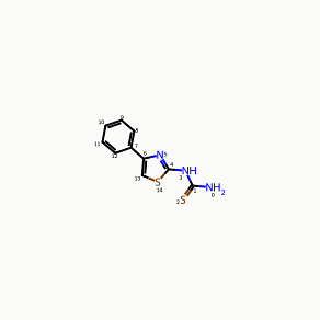 NC(=S)Nc1nc(-c2ccccc2)cs1